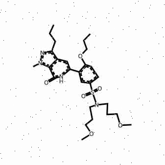 CCCOc1ccc(S(=O)(=O)N(CCCOC)CCCOC)cc1-c1cc2c(CCC)nn(C)c2c(=O)[nH]1